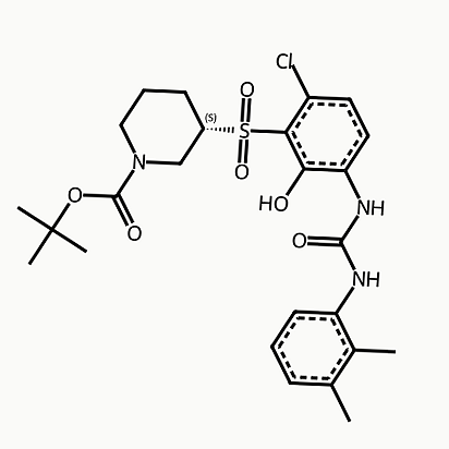 Cc1cccc(NC(=O)Nc2ccc(Cl)c(S(=O)(=O)[C@H]3CCCN(C(=O)OC(C)(C)C)C3)c2O)c1C